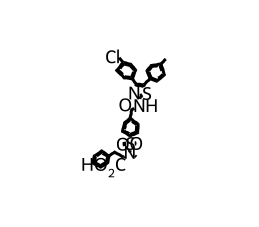 Cc1ccc(-c2sc(NC(=O)c3ccc(S(=O)(=O)N(C)C(Cc4ccccc4)C(=O)O)cc3)nc2-c2ccc(Cl)cc2)cc1